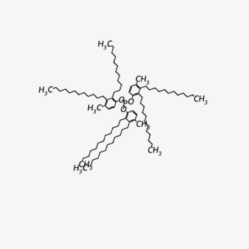 CCCCCCCCCCCCc1c(C)ccc(OP(Oc2ccc(C)c(CCCCCCCCCCCC)c2CCCCCCCCCCCC)Oc2ccc(C)c(CCCCCCCCCCCC)c2CCCCCCCCCCCC)c1CCCCCCCCCCCC